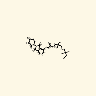 CC(C)(CI)COCC(C)(C)CNC(=O)COc1cccc2c1C(=O)N(C1CCC(=O)NC1=O)C2=O